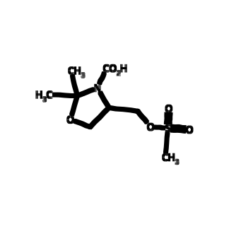 CC1(C)OCC(COS(C)(=O)=O)N1C(=O)O